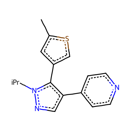 Cc1cc(-c2c(-c3ccncc3)cnn2C(C)C)cs1